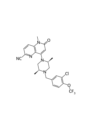 C[C@H]1CN(c2cc(=O)n(C)c3ccc(C#N)nc23)[C@@H](C)CN1Cc1ccc(OC(F)(F)F)c(Cl)c1